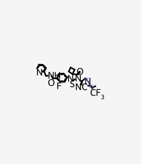 C=C(/C=N\C(C#N)=C(/C)C(F)(F)F)N1C(=O)C2(CCC2)N(c2ccc(C(=O)NCc3ccccn3)c(F)c2)C1=S